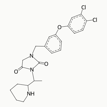 CC(C1CCCCN1)N1C(=O)CN(Cc2cccc(Oc3ccc(Cl)c(Cl)c3)c2)C1=O